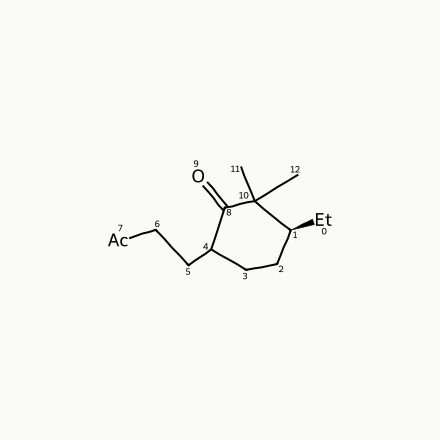 CC[C@H]1CCC(CCC(C)=O)C(=O)C1(C)C